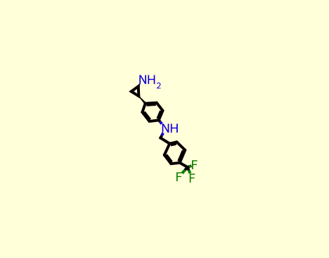 N[C@H]1C[C@@H]1c1ccc(NCc2ccc(C(F)(F)F)cc2)cc1